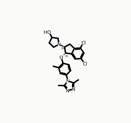 Cc1cc(-n2c(C)nnc2C)ccc1O[C@H]1c2cc(Cl)cc(Cl)c2C[C@@H]1N1CCC(O)C1